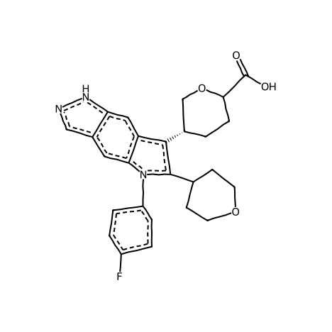 O=C(O)C1CC[C@H](c2c(C3CCOCC3)n(-c3ccc(F)cc3)c3cc4cn[nH]c4cc23)CO1